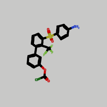 Nc1ccc(S(=O)(=O)c2cccc(-c3cccc(OC(=O)Cl)c3)c2C(F)(F)F)cc1